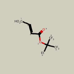 CCC(OC(=O)/C=C/C(=O)O)(C(F)(F)F)C(F)(F)F